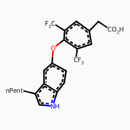 CCCCCc1c[nH]c2ccc(Oc3c(C(F)(F)F)cc(CC(=O)O)cc3C(F)(F)F)cc12